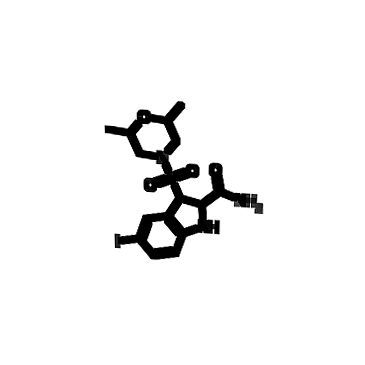 CC1CN(S(=O)(=O)C2c3cc(I)ccc3NC2C(N)=O)CC(C)O1